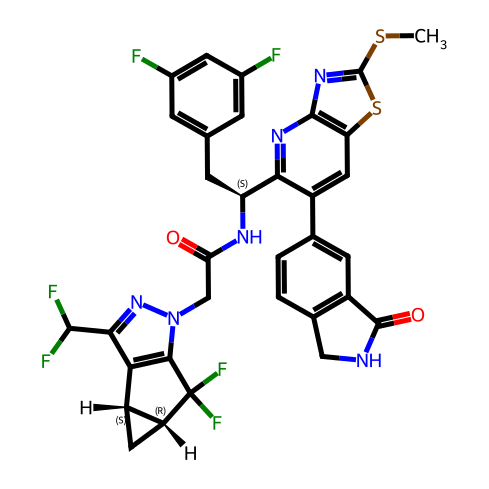 CSc1nc2nc([C@H](Cc3cc(F)cc(F)c3)NC(=O)Cn3nc(C(F)F)c4c3C(F)(F)[C@@H]3C[C@H]43)c(-c3ccc4c(c3)C(=O)NC4)cc2s1